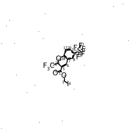 O=C(OCI)C1=Cc2cc(S(F)(F)(F)(F)F)ccc2OC1C(F)(F)F